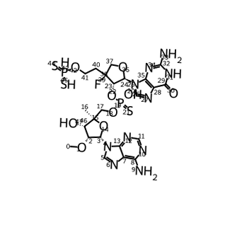 CO[C@H]1[C@@H](n2cnc3c(N)ncnc32)O[C@](C)(COP(O)(=S)O[C@H]2[C@H](n3cnc4c(=O)[nH]c(N)nc43)OC[C@@]2(F)CCO[PH](=S)S)[C@H]1O